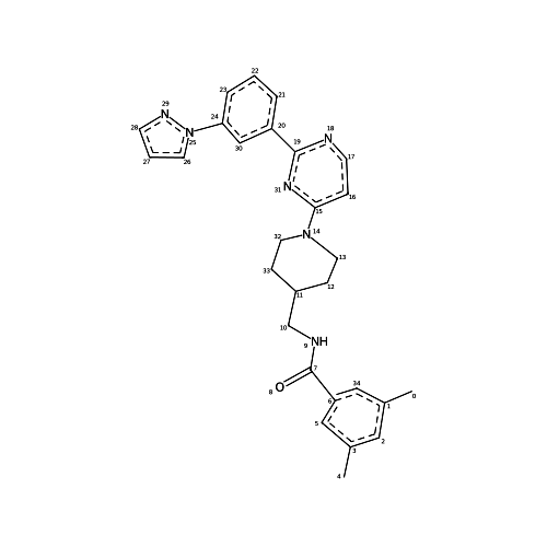 Cc1cc(C)cc(C(=O)NCC2CCN(c3ccnc(-c4cccc(-n5cccn5)c4)n3)CC2)c1